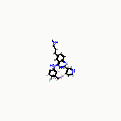 CN(C)CCCc1ccc2nc(-c3cccnc3)nc(Nc3ccc(F)c(CI)c3)c2c1